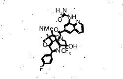 CNC(=O)[C@@]1(C)COc2c1cc(C(O)(CNC(=O)c1cc(NC(N)=O)c3ncccc3c1)C(F)(F)F)nc2-c1ccc(F)cc1